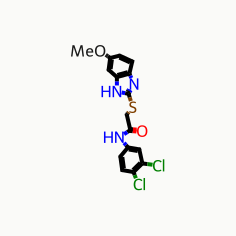 COc1ccc2nc(SCC(=O)Nc3ccc(Cl)c(Cl)c3)[nH]c2c1